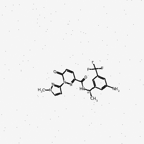 C[C@@H](NC(=O)c1ccc(=O)n(-c2ccn(C)n2)n1)c1cc(N)cc(C(F)(F)F)c1